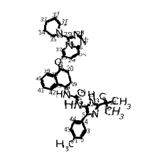 Cc1ccc(-c2nc(C(C)(C)C)[nH]c2NC(=O)N[C@H]2CC[C@@H](Oc3ccc4nnc(N5CCCCC5)n4c3)c3ccccc32)cc1